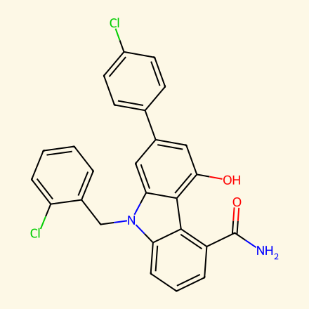 NC(=O)c1cccc2c1c1c(O)cc(-c3ccc(Cl)cc3)cc1n2Cc1ccccc1Cl